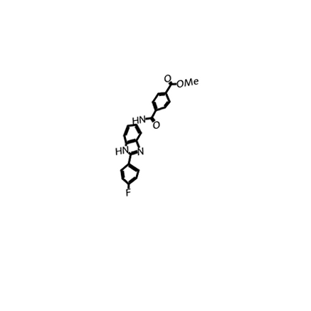 COC(=O)c1ccc(C(=O)Nc2ccc3[nH]c(-c4ccc(F)cc4)nc3c2)cc1